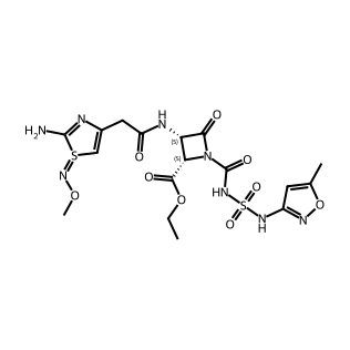 CCOC(=O)[C@@H]1[C@H](NC(=O)CC2=CS(=NOC)C(N)=N2)C(=O)N1C(=O)NS(=O)(=O)Nc1cc(C)on1